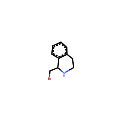 Br[CH]C1NCCc2ccccc21